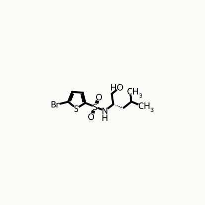 CC(C)C[C@@H](CO)NS(=O)(=O)c1ccc(Br)s1